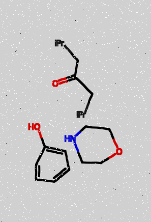 C1COCCN1.CC(C)CC(=O)CC(C)C.Oc1ccccc1